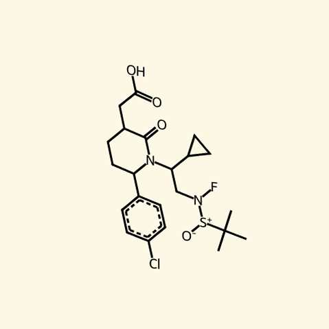 CC(C)(C)[S+]([O-])N(F)CC(C1CC1)N1C(=O)C(CC(=O)O)CCC1c1ccc(Cl)cc1